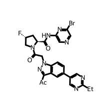 CCc1ncc(-c2ccc3c(c2)c(C(C)=O)nn3CC(=O)N2C[C@H](F)C[C@H]2C(=O)Nc2cncc(Br)n2)cn1